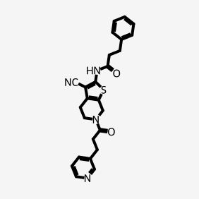 N#Cc1c(NC(=O)CCc2ccccc2)sc2c1CCN(C(=O)CCc1cccnc1)C2